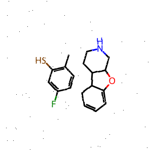 C1=CCC2C(=C1)OC1CNCCC12.Cc1ccc(F)cc1S